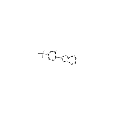 CC(C)(C)c1ccc(-c2cn3cccnc3n2)cc1